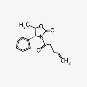 C=CCCC(=O)N1C(=O)OC(C)[C@H]1c1ccccc1